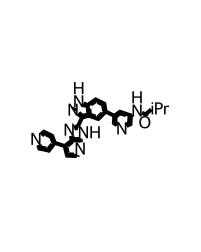 CC(C)C(=O)Nc1cncc(-c2ccc3[nH]nc(-c4nc5c(-c6ccncc6)ccnc5[nH]4)c3c2)c1